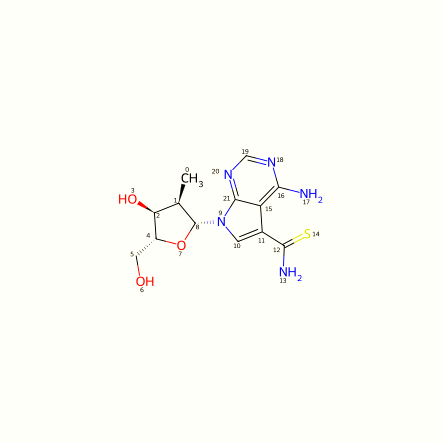 C[C@@H]1[C@H](O)[C@@H](CO)O[C@H]1n1cc(C(N)=S)c2c(N)ncnc21